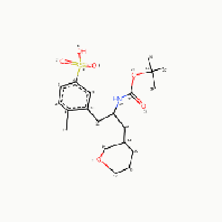 Cc1ccc(S(=O)(=O)O)cc1CC(CC1CCCOC1)NC(=O)OC(C)(C)C